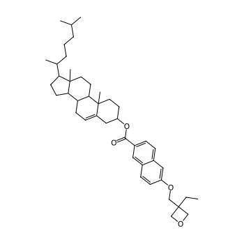 CCC1(COc2ccc3cc(C(=O)OC4CCC5(C)C(=CCC6C5CCC5(C)C(C(C)CCCC(C)C)CCC65)C4)ccc3c2)COC1